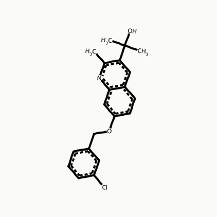 Cc1nc2cc(OCc3cccc(Cl)c3)ccc2cc1C(C)(C)O